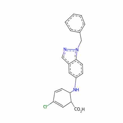 O=C(O)C1C=C(Cl)C=CC1Nc1ccc2c(cnn2Cc2ccccc2)c1